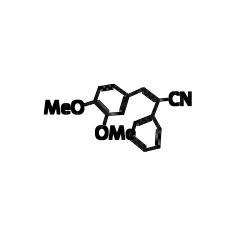 COc1ccc(C=C(C#N)c2ccccc2)cc1OC